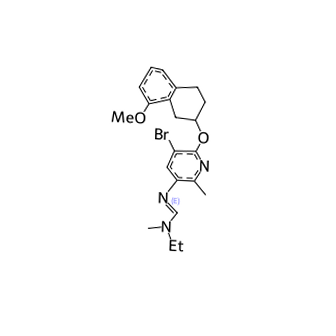 CCN(C)/C=N/c1cc(Br)c(OC2CCc3cccc(OC)c3C2)nc1C